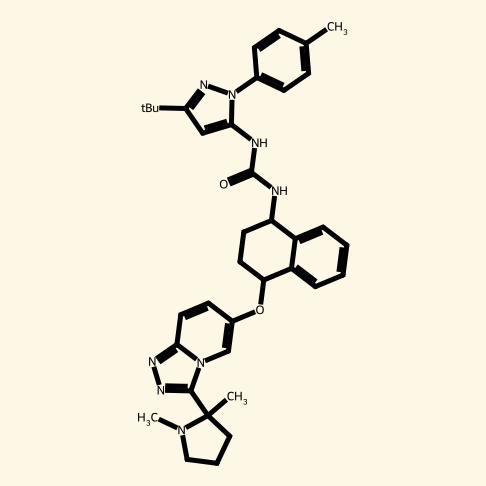 Cc1ccc(-n2nc(C(C)(C)C)cc2NC(=O)NC2CCC(Oc3ccc4nnc(C5(C)CCCN5C)n4c3)c3ccccc32)cc1